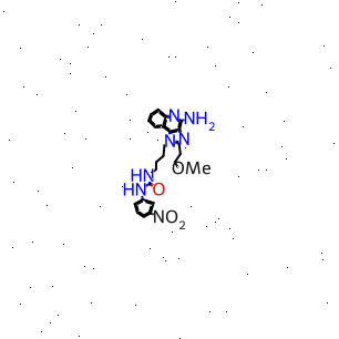 COCCc1nc2c(N)nc3ccccc3c2n1CCCCNC(=O)Nc1cccc([N+](=O)[O-])c1